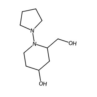 OCC1CC(O)CCN1N1CCCC1